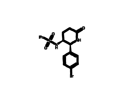 CC(C)S(=O)(=O)N[C@H]1CCC(=O)N[C@H]1c1ccc(Br)cc1